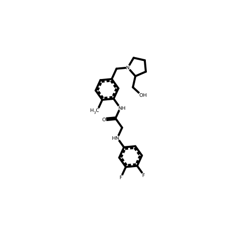 Cc1ccc(CN2CCCC2CO)cc1NC(=O)CNc1ccc(F)c(F)c1